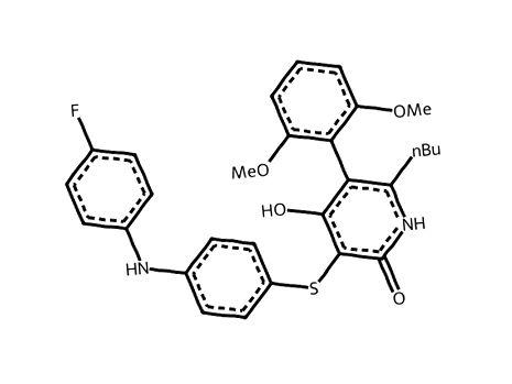 CCCCc1[nH]c(=O)c(Sc2ccc(Nc3ccc(F)cc3)cc2)c(O)c1-c1c(OC)cccc1OC